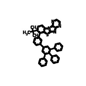 CC(C)(C)c1ccc2c(sc3nc4nccnc4n32)c1-c1cccc(-c2cc(-c3ccccc3)c(-c3ccccc3)c(-c3ccccc3)c2)c1